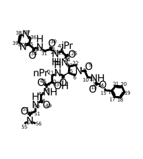 CCC[C@H](NC(=O)[C@@H]1CN(C(=O)CNC(=O)OCc2ccccc2)C[C@@H]1NC(=O)C(NC(=O)CNC(=O)c1cnccn1)C(C)C)C(O)C(=O)NCC(=O)NCC(=O)N(C)C